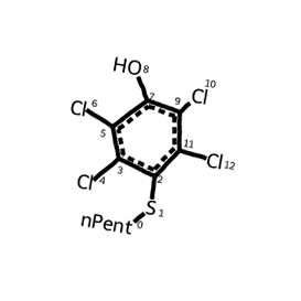 CCCCCSc1c(Cl)c(Cl)c(O)c(Cl)c1Cl